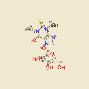 CCCCn1c(=O)c2c(ncn2O[C@@H]2O[C@H](CO)[C@@H](O)[C@H]2O)n(CCCC)c1=S